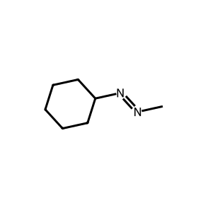 CN=NC1CCCCC1